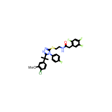 COc1cc(C(C)(C)c2nnc(SCCNC(=O)Cc3cc(F)c(F)cc3F)n2-c2ccc(F)cc2)ccc1Cl